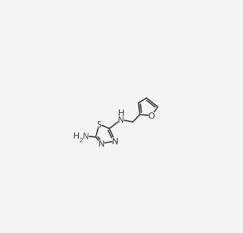 Nc1nnc(NCc2ccco2)s1